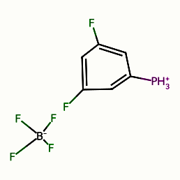 F[B-](F)(F)F.Fc1cc(F)cc([PH3+])c1